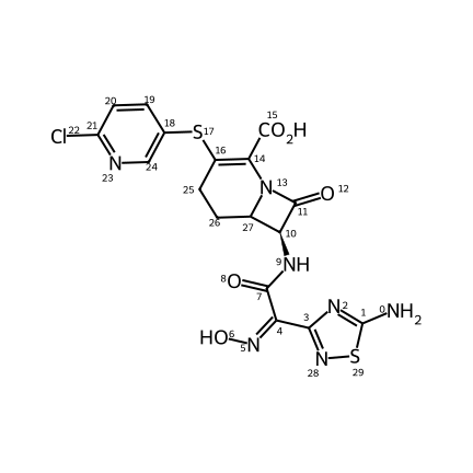 Nc1nc(/C(=N/O)C(=O)N[C@@H]2C(=O)N3C(C(=O)O)=C(Sc4ccc(Cl)nc4)CCC23)ns1